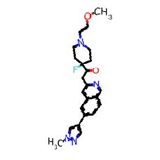 COCCN1CCC(F)(C(=O)Cc2cc3cc(-c4cnn(C)c4)ccc3cn2)CC1